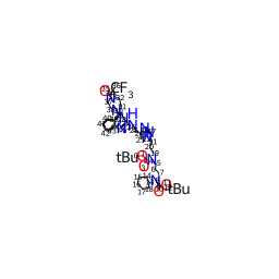 CC(C)(C)OC(=O)N(CCCN(C(=O)OC(C)(C)C)C1CCCCC1)CCCn1cc(CNc2nc(N3CCN(C(=O)C(F)(F)F)CC3)c3ccccc3n2)nn1